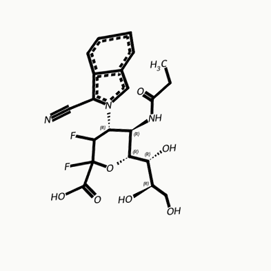 CCC(=O)N[C@H]1[C@H]([C@H](O)[C@H](O)CO)OC(F)(C(=O)O)C(F)[C@@H]1n1cc2ccccc2c1C#N